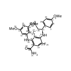 COc1ccc([C@@H](Nc2nc(Nc3cc(OC)nc(OC)c3)c(C(N)=O)cc2F)[C@H](C)N)cc1